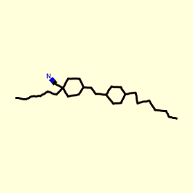 CCCCCCCC1CCC(CCC2CCC(C#N)(CCCCCC)CC2)CC1